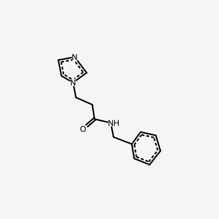 O=C(CCn1ccnc1)NCc1ccccc1